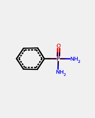 NP(N)(=O)c1ccccc1